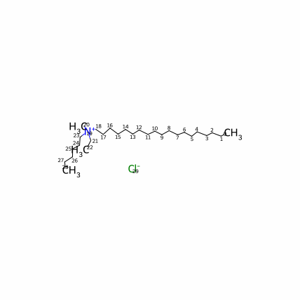 CCCCCCCCCCCCCCCCCCC[N+](C)(CC)CCCCCC.[Cl-]